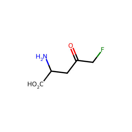 NC(CC(=O)CF)C(=O)O